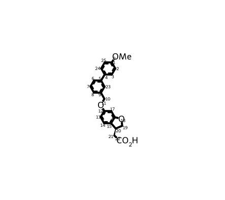 COc1ccc(-c2cccc(COc3ccc4c(c3)OC[C@H]4CC(=O)O)c2)cc1